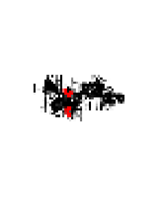 COc1c(Cl)cc(C(NC(=O)COCCOCC(=O)NCCNC(=O)C2CC(NC(=O)c3cc(O)nc(O)n3)C(OC3OC(C)C(O)C(O)C3O)C(OC3OC(CO)C(O)C(O[C@@H](CC4CCCCC4)C(=O)O)C3OC(=O)c3ccccc3)C2)c2cc(Cl)c(OC)c(C(=O)OCc3ccccc3)c2)cc1C(=O)OCc1ccccc1